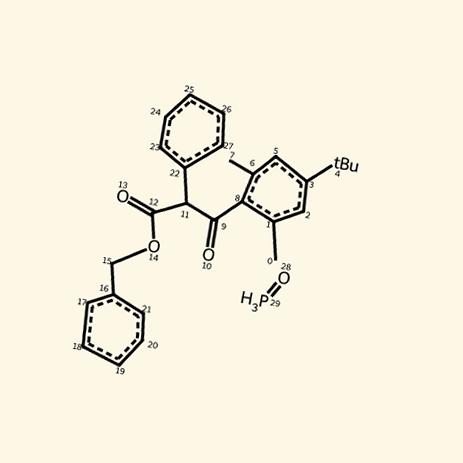 Cc1cc(C(C)(C)C)cc(C)c1C(=O)C(C(=O)OCc1ccccc1)c1ccccc1.O=[PH3]